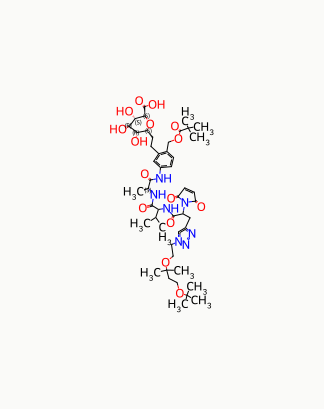 CC(C)C(NC(=O)C(Cc1cn(CCOC(C)(C)CCOC(C)(C)C)nn1)N1C(=O)C=CC1=O)C(=O)N[C@@H](C)C(=O)Nc1ccc(COC(=O)C(C)(C)C)c(CC[C@@H]2O[C@H](C(=O)O)[C@@H](O)[C@H](O)[C@H]2O)c1